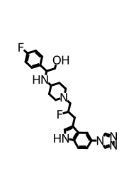 OCC(NC1CCN(CC(F)Cc2c[nH]c3ccc(-n4cnnc4)cc23)CC1)c1ccc(F)cc1